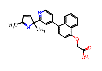 CC1=NC(C)(c2cc(-c3ccc(OCC(=O)O)c4ccccc34)ccn2)C=C1